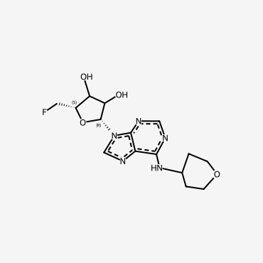 OC1C(O)[C@@H](CF)O[C@H]1n1cnc2c(NC3CCOCC3)ncnc21